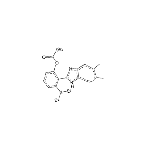 CCN(CC)c1cccc(OC(=O)C(C)(C)C)c1-c1nc2cc(C)c(C)cc2[nH]1